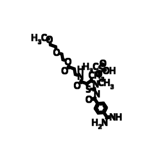 COCCOCCOC(=O)CCNC(=O)C1SC(=NC(=O)c2ccc(C(=N)N)cc2)N(C)C1C.CS(=O)(=O)O